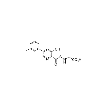 Cc1cccc(-c2cnc(C(=O)SNCC(=O)O)c(O)c2)c1